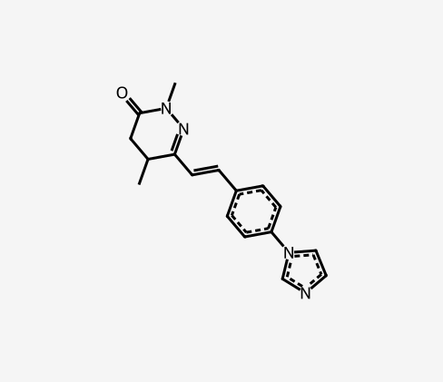 CC1CC(=O)N(C)N=C1C=Cc1ccc(-n2ccnc2)cc1